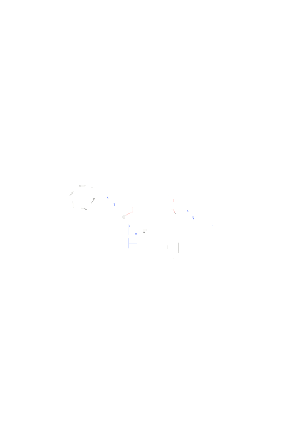 NC(=O)CC[C@H](NC(=O)CNc1ccccc1)C(=O)O